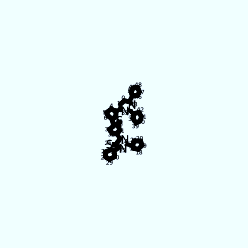 C1=CC(c2cccc3c2sc2cc(-c4nc(-c5ccccc5)nc5c4sc4ccccc45)ccc23)=NC(c2ccccc2)=NC=1c1ccccc1